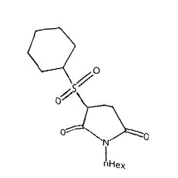 CCCCCCN1C(=O)CC(S(=O)(=O)C2CCCCC2)C1=O